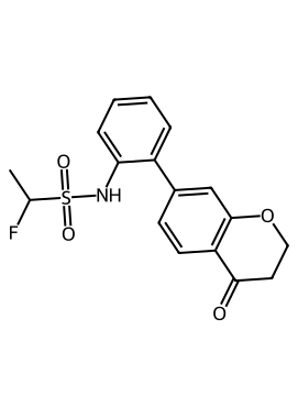 CC(F)S(=O)(=O)Nc1ccccc1-c1ccc2c(c1)OCCC2=O